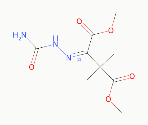 COC(=O)/C(=N\NC(N)=O)C(C)(C)C(=O)OC